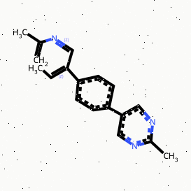 C=C(C)/N=C\C(=C/C)c1ccc(-c2cnc(C)nc2)cc1